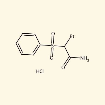 CCC(C(N)=O)S(=O)(=O)c1ccccc1.Cl